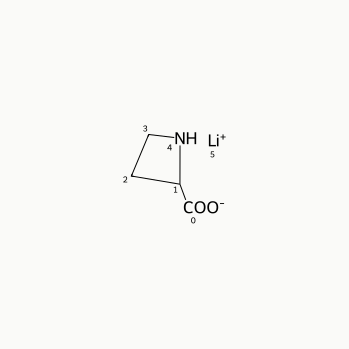 O=C([O-])C1CCN1.[Li+]